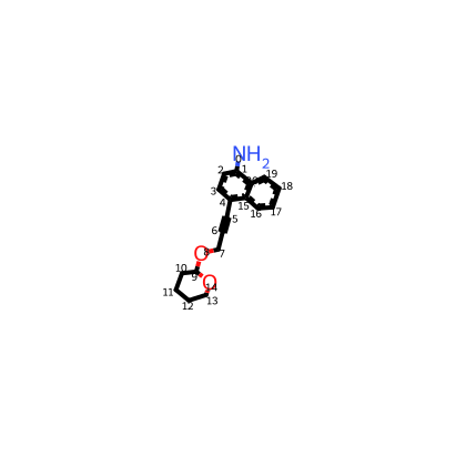 Nc1ccc(C#CCOC2CCCCO2)c2ccccc12